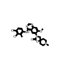 COc1cc2ncnc(Nc3ccc(Cl)c(Cl)c3C)c2cc1N1CC2(CCN(C)CC2)OC1=O